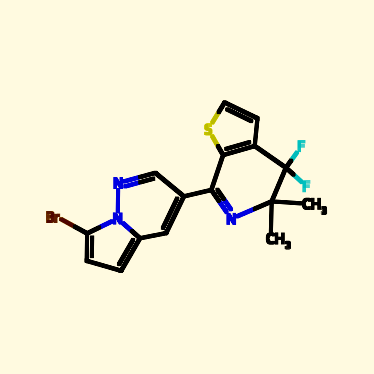 CC1(C)N=C(c2cnn3c(Br)ccc3c2)c2sccc2C1(F)F